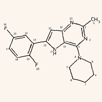 Cc1nc(N2CCCCC2)c2[nH]c(-c3cc(F)ccc3F)cc2n1